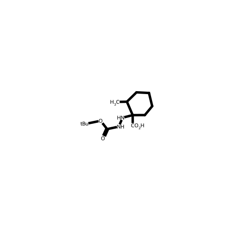 CC1CCCCC1(NNC(=O)OC(C)(C)C)C(=O)O